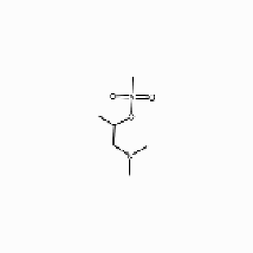 CC(CN(C)C)OS(C)(=O)=O